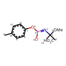 COC(C)(N=[P+]([O-])Oc1ccc(C)cc1)C(=O)O